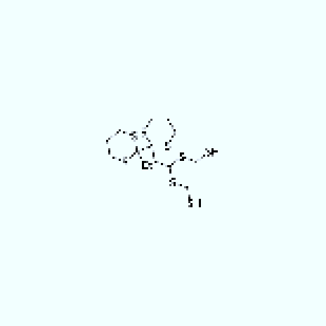 CCC1(C2(CC(SCS)SCS)SCCCS2)SCCCS1